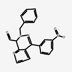 O=CC1c2ncccc2C(c2cccc([N+](=O)[O-])c2)=NN1Cc1ccccc1